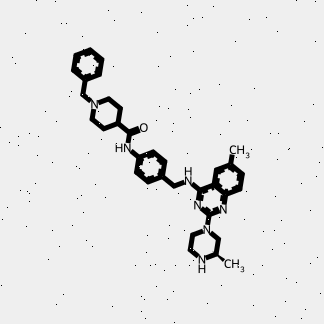 Cc1ccc2nc(N3CCN[C@H](C)C3)nc(NCc3ccc(NC(=O)C4CCN(Cc5ccccc5)CC4)cc3)c2c1